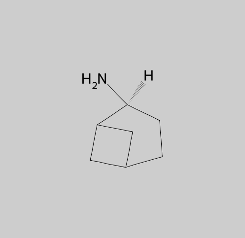 N[C@H]1CCC2CC1C2